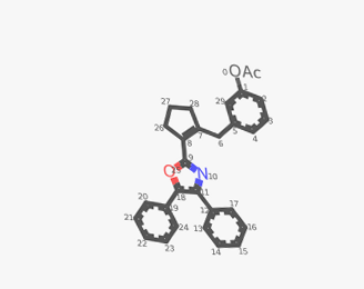 CC(=O)Oc1cccc(CC2=C(c3nc(-c4ccccc4)c(-c4ccccc4)o3)CCC2)c1